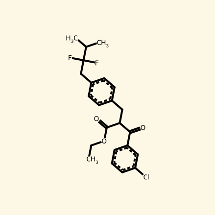 CCOC(=O)C(Cc1ccc(CC(F)(F)C(C)C)cc1)C(=O)c1cccc(Cl)c1